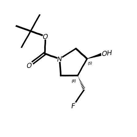 CC(C)(C)OC(=O)N1C[C@@H](CF)[C@H](O)C1